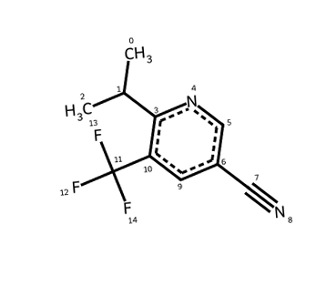 CC(C)c1ncc(C#N)cc1C(F)(F)F